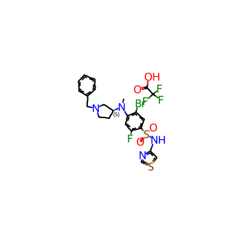 CN(c1cc(F)c(S(=O)(=O)Nc2cscn2)cc1Br)[C@H]1CCN(Cc2ccccc2)C1.O=C(O)C(F)(F)F